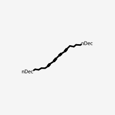 CCCCCCCCCCCCCCC#CC#CC#CC#CCCCCCCCCCCCCCC